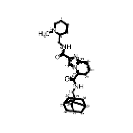 CN1CCCCC1CNC(=O)c1cn2c(C(=O)NCC34CC5CC(CC(C5)C3)C4)cccc2n1